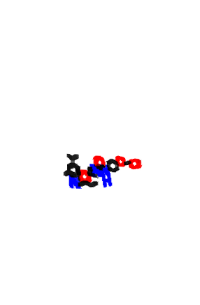 CCC/C=N\c1c(C)cc(C(C)C)cc1OC1CN(C(=O)NC2CCC(OCCOC)CC2)C1